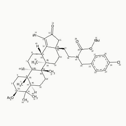 CC(=O)O[C@H]1CC[C@]2(C)[C@H]3CC[C@@H]4C5=C(C(C)C)C(=O)C[C@]5(CCN(Cc5ccc(Cl)cc5)C(=O)OC(C)(C)C)CC[C@@]4(C)[C@]3(C)CC[C@H]2C1(C)C